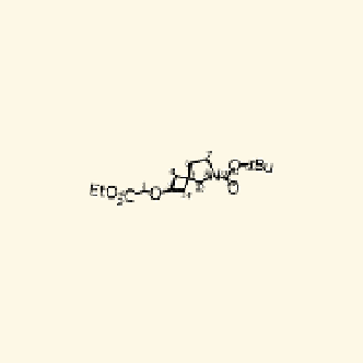 CCOC(=O)COC1CC2(CCN(C(=O)OC(C)(C)C)C2)C1